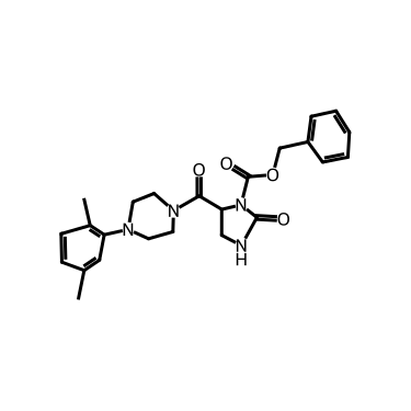 Cc1ccc(C)c(N2CCN(C(=O)C3CNC(=O)N3C(=O)OCc3ccccc3)CC2)c1